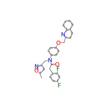 Cc1cc(CN(C(=O)Cc2ccc(F)cc2F)c2ccc(OCc3ccc4ccccc4n3)cc2)no1